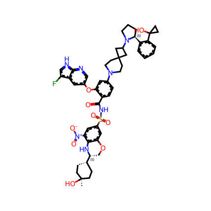 C[C@]1(O)CC[C@H]([C@H]2COc3cc(S(=O)(=O)NC(=O)c4ccc(N5CCC6(CC5)CC(N5CCC[C@H]5c5ccccc5C5(O)CC5)C6)cc4Oc4cnc5[nH]cc(F)c5c4)cc([N+](=O)[O-])c3N2)CC1